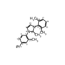 Cc1cc(C(C)C)ncc1N1C=CN(c2c(C)cccc2C)C1C